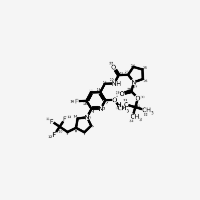 COc1nc(N2CCC(CC(F)(F)F)C2)c(F)cc1CNC(=O)C1CCCN1C(=O)OC(C)(C)C